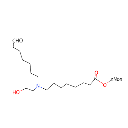 CCCCCCCCCOC(=O)CCCCCCCN(CCO)CCCCCCC=O